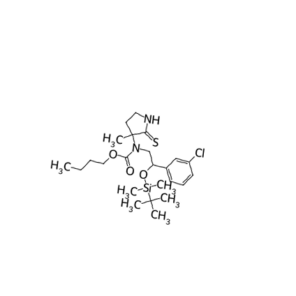 CCCCOC(=O)N(CC(O[Si](C)(C)C(C)(C)C)c1cccc(Cl)c1)C1(C)CCNC1=S